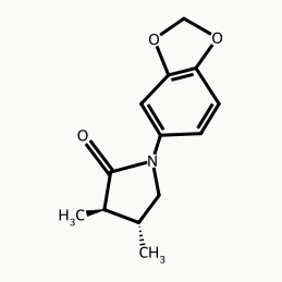 C[C@H]1CN(c2ccc3c(c2)OCO3)C(=O)[C@@H]1C